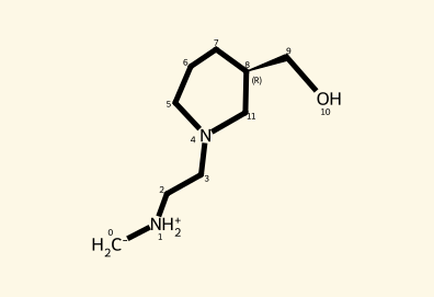 [CH2-][NH2+]CCN1CCC[C@@H](CO)C1